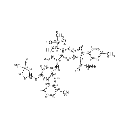 CNC(=O)c1c(-c2ccc(C)cc2)oc2cc(N(C)S(C)(=O)=O)c(-c3ccc4nc(CN5CCC(F)(F)C5)n5c6cccc(C#N)c6cc5c4n3)cc12